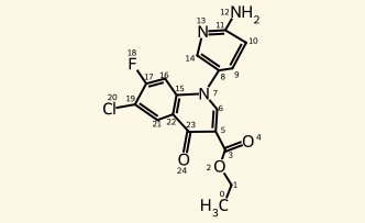 CCOC(=O)c1cn(-c2ccc(N)nc2)c2cc(F)c(Cl)cc2c1=O